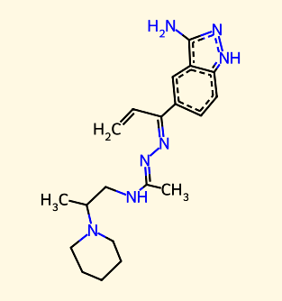 C=C/C(=N\N=C(/C)NCC(C)N1CCCCC1)c1ccc2[nH]nc(N)c2c1